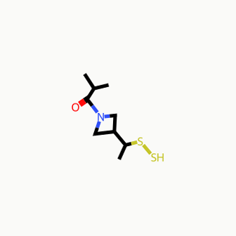 CC(C)C(=O)N1CC(C(C)SS)C1